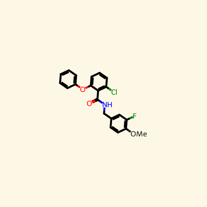 COc1ccc(CNC(=O)c2c(Cl)cccc2Oc2ccccc2)cc1F